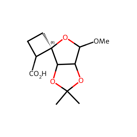 COC1O[C@@]2(CCC2C(=O)O)C2OC(C)(C)OC12